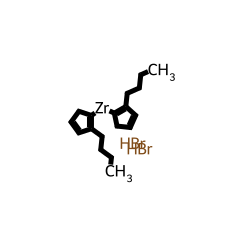 Br.Br.CCCCC1=[C]([Zr][C]2=C(CCCC)C=CC2)CC=C1